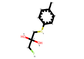 Cc1ccc(SCC(O)(O)CF)cc1